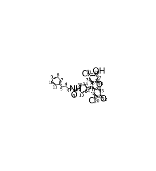 O=C(NCCCc1ccccc1)c1ccc(-c2c3cc(Cl)c(=O)cc-3oc3cc(O)c(Cl)cc23)cc1